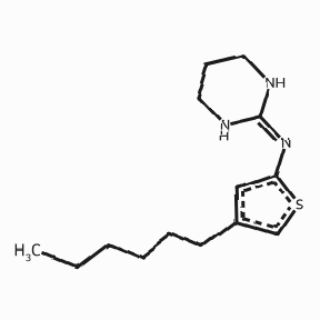 CCCCCCc1csc(N=C2NCCCN2)c1